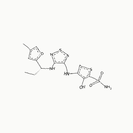 CC[C@@H](Nc1nsnc1Nc1csc(S(N)(=O)=O)c1O)c1cc(C)co1